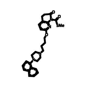 CSC(=O)N1C(=O)CCc2ccc(OCCCCN3CCN(c4cccc5ccccc45)CC3)nc21